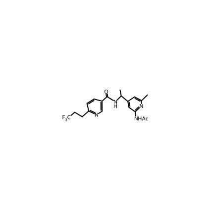 CC(=O)Nc1cc(C(C)NC(=O)c2ccc(CCC(F)(F)F)nc2)cc(C)n1